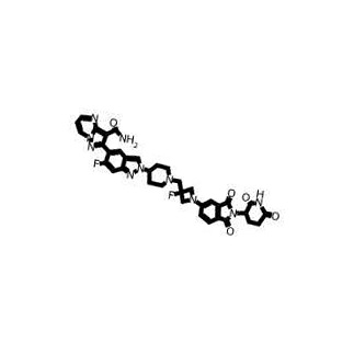 NC(=O)c1c(-c2cc3cn(C4CCN(CC5(F)CN(c6ccc7c(c6)C(=O)N(C6CCC(=O)NC6=O)C7=O)C5)CC4)nc3cc2F)nn2cccnc12